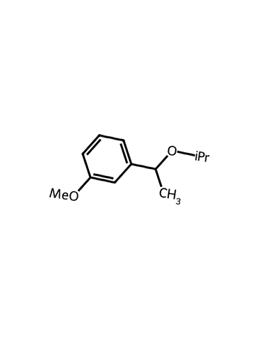 COc1cccc(C(C)OC(C)C)c1